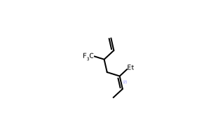 C=CC(C/C(=C\C)CC)C(F)(F)F